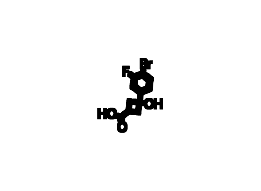 O=C(O)C1CC(O)(c2ccc(Br)c(F)c2)C1